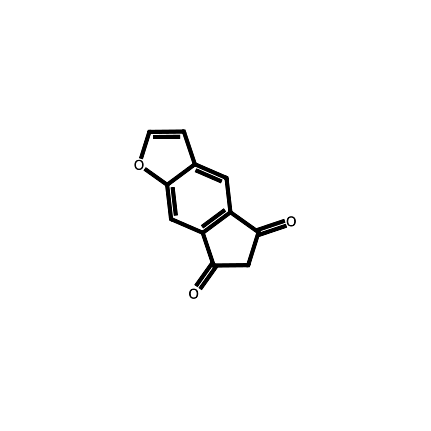 O=C1CC(=O)c2cc3occc3cc21